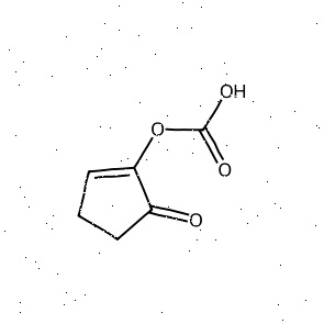 O=C(O)OC1=CCCC1=O